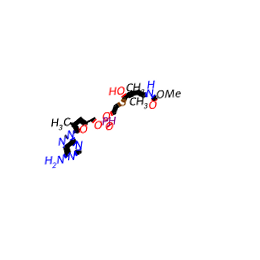 COC(=O)NCCC(C)(C)C(O)SCCO[PH](=O)OC[C@@H]1C[C@H](C)[C@H](n2cnc3c(N)ncnc32)O1